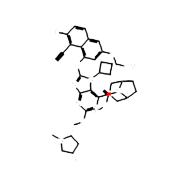 C#Cc1c(F)ccc2cc(OCOC)cc(Oc3nc4nc(OC[C@@H]5C[C@H](F)CN5C)nc(N5CC6CCC(C5)N6C(=O)OC(C)(C)C)c4n3C3CCC3)c12